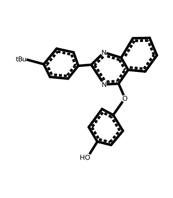 CC(C)(C)c1ccc(-c2nc(Oc3ccc(O)cc3)c3ccccc3n2)cc1